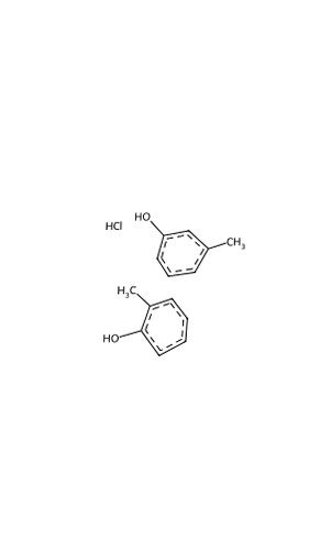 Cc1cccc(O)c1.Cc1ccccc1O.Cl